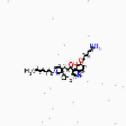 CCCCCCCN1CC[C@@H](CC[C@@H](O)c2ccnc3ccc(OCCCCCN)cc23)[C@@H](CC)C1